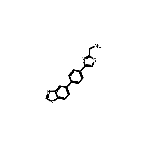 [C-]#[N+]Cc1nc(-c2ccc(-c3ccc4scnc4c3)cc2)cs1